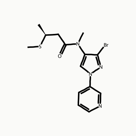 CS[C@@H](C)CC(=O)N(C)c1cn(-c2cccnc2)nc1Br